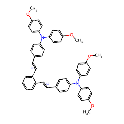 COc1ccc(N(c2ccc(/C=C/c3ccccc3/C=C/c3ccc(N(c4ccc(OC)cc4)c4ccc(OC)cc4)cc3)cc2)c2ccc(OC)cc2)cc1